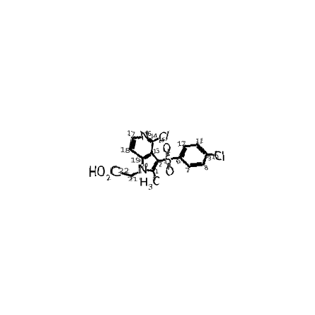 Cc1c(S(=O)(=O)c2ccc(Cl)cc2)c2c(Cl)nccc2n1CC(=O)O